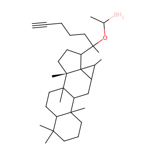 BC(C)OC(C)(CCCC#C)C1CC[C@@]2(C)C3(C)CCC4C(C)(C)CCCC4(C)C3CC3C(C)C312